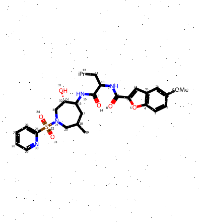 COc1ccc2oc(C(=O)NC(CC(C)C)C(=O)NC3CC(C)CN(S(=O)(=O)c4ccccn4)C[C@@H]3O)cc2c1